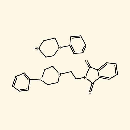 O=C1c2ccccc2C(=O)N1CCN1CCN(c2ccccc2)CC1.c1ccc(N2CCNCC2)cc1